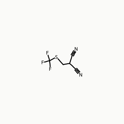 N#CC(C#N)CSC(F)(F)F